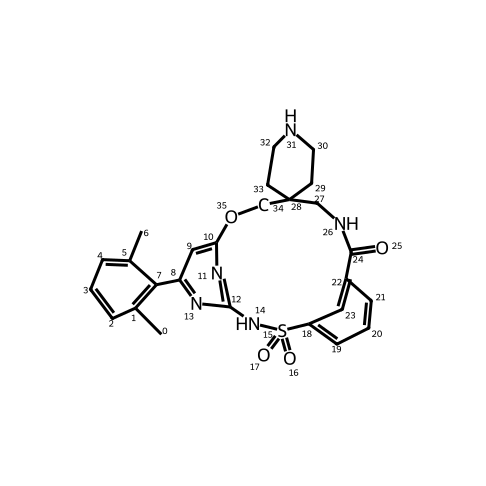 Cc1cccc(C)c1-c1cc2nc(n1)NS(=O)(=O)c1cccc(c1)C(=O)NCC1(CCNCC1)CO2